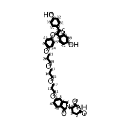 O=C1CCC(N2Cc3cc(OCCCOCCCOCCCOc4ccc(Oc5c(-c6ccc(O)cc6)sc6cc(O)ccc56)cc4)ccc3C2=O)C(=O)N1